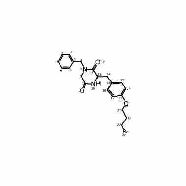 O=C1CN(Cc2ccccc2)C(=O)C(Cc2ccc(OCCCBr)cc2)N1